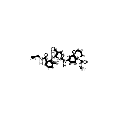 C#CCNC(=O)c1cccc(F)c1Nc1nc(Nc2ccc3c(c2)OCCCN3C(=O)OC(C)C)ncc1Cl